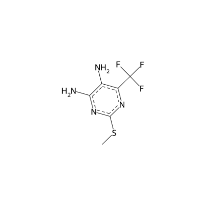 CSc1nc(N)c(N)c(C(F)(F)F)n1